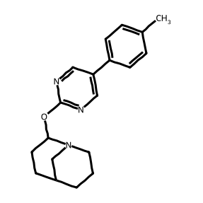 Cc1ccc(-c2cnc(OC3CCC4CCCN3C4)nc2)cc1